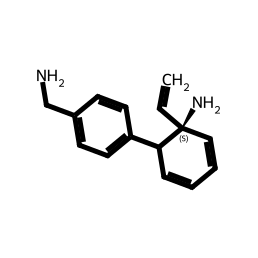 C=C[C@]1(N)C=CC=CC1c1ccc(CN)cc1